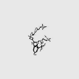 CC1(OCOCC[Si](C)(C)C)CC(c2nc3cc(Br)cc(C(F)(F)F)c3n2COCC[Si](C)(C)C)C1